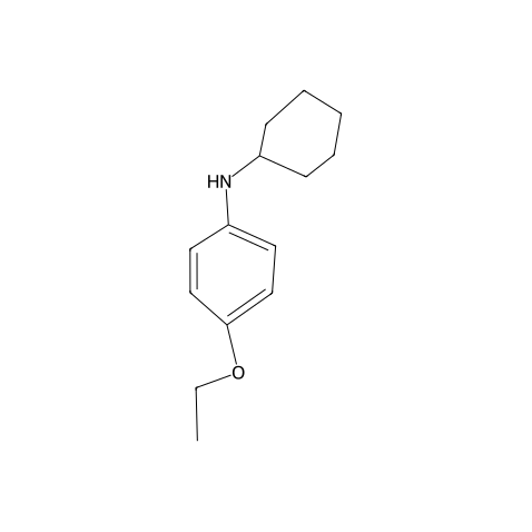 CCOc1ccc(NC2CCCCC2)cc1